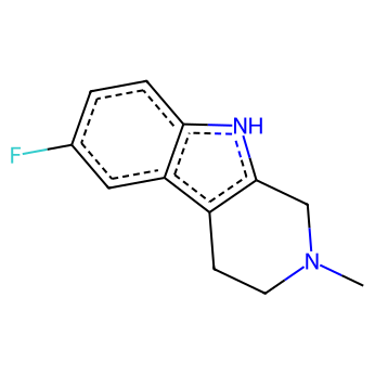 CN1CCc2c([nH]c3ccc(F)cc23)C1